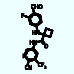 N#Cc1ncc(NC(=O)C2(Nc3ccc(C=O)c(F)c3)CCC2)cc1C(F)(F)F